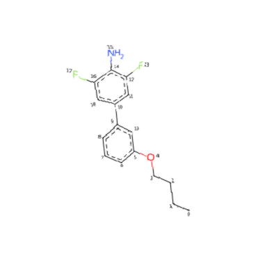 CCCCOc1cccc(-c2cc(F)c(N)c(F)c2)c1